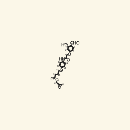 O=Cc1ccc(OCC(=O)Nc2ccc(OCCCC(=O)OCC3CO3)cc2)cc1O